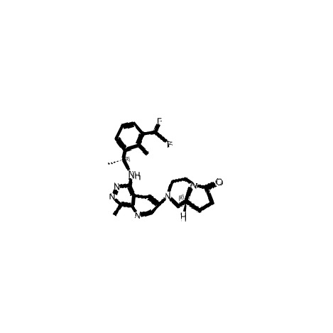 Cc1c(C(F)F)cccc1[C@@H](C)Nc1nnc(C)c2ncc(N3CCN4C(=O)CC[C@@H]4C3)cc12